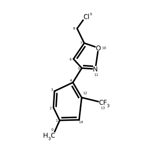 Cc1ccc(-c2cc(CCl)on2)c(C(F)(F)F)c1